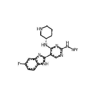 CCCNc1ncc(-c2nc3cc(F)ccc3[nH]2)c(N[C@H]2CCCNC2)n1